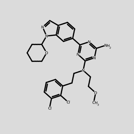 COCCN(CCc1cccc(Cl)c1Cl)c1nc(N)nc(-c2ccc3cnn(C4CCCCO4)c3c2)n1